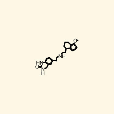 COc1cccc2c1CCCC2CCNCCc1ccc2c(c1)CNC(=O)N2